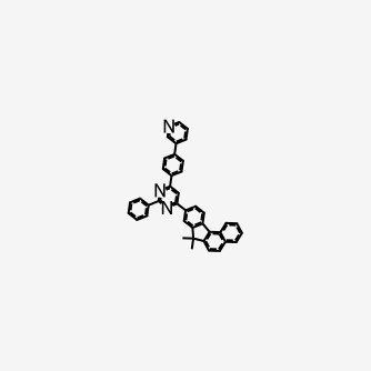 CC1(C)c2cc(-c3cc(-c4ccc(-c5cccnc5)cc4)nc(-c4ccccc4)n3)ccc2-c2c1ccc1ccccc21